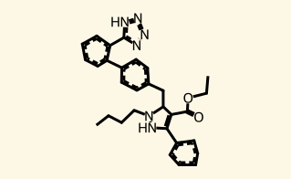 CCCCN1NC(c2ccccc2)=C(C(=O)OCC)C1Cc1ccc(-c2ccccc2-c2nnn[nH]2)cc1